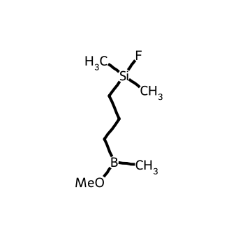 COB(C)CCC[Si](C)(C)F